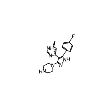 C=C/C=C(\N=C/N)c1c(N2CCNCC2)n[nH]c1-c1ccc(F)cc1